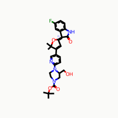 CC(C)(C)OC(=O)N1CCN(c2ccc(C3=C/C(=C4\C(=O)Nc5ccc(F)cc54)OC3(C)C)cn2)C(CO)C1